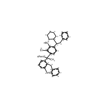 CCCCCCc1cccc(C(C)(CCCCC)c2ccc([C](Cc3ccccc3)C3CCCCC3)c(CCCC)c2CC)c1Cc1ccccc1